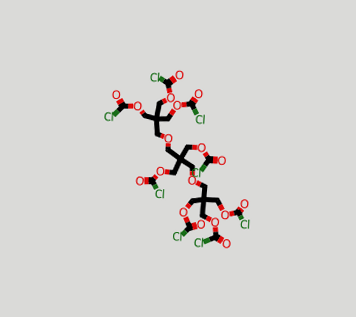 O=C(Cl)OCC(COCC(COC(=O)Cl)(COC(=O)Cl)COC(=O)Cl)(COCC(COC(=O)Cl)(COC(=O)Cl)COC(=O)Cl)COC(=O)Cl